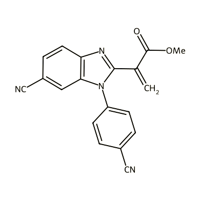 C=C(C(=O)OC)c1nc2ccc(C#N)cc2n1-c1ccc(C#N)cc1